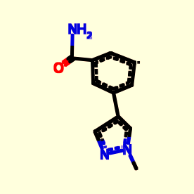 Cn1cc(-c2c[c]cc(C(N)=O)c2)cn1